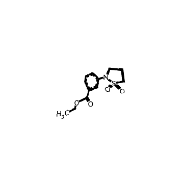 CCOC(=O)c1cccc(N2CCCS2(=O)=O)c1